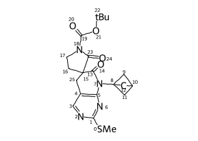 CSc1ncc2c(n1)N(C13CC(C1)C3)C(=O)C1(CCN(C(=O)OC(C)(C)C)C1=O)C2